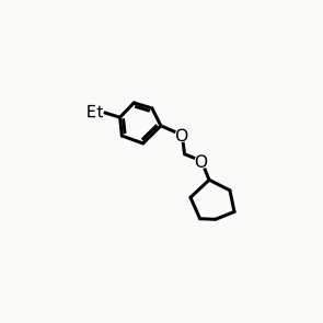 CCc1ccc(OCOC2CCCCC2)cc1